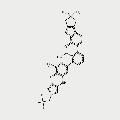 Cn1nc(-c2ccnc(-n3ccn4c5c(cc4c3=O)CC(C)(C)C5)c2CO)cc(Nc2cn(CC(F)(F)F)nn2)c1=O